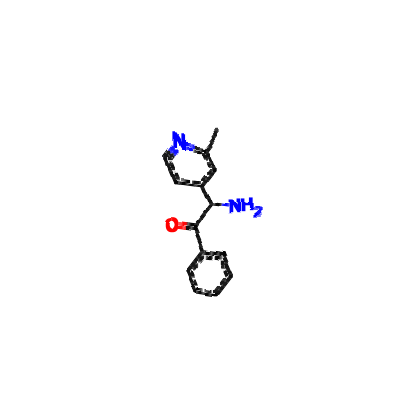 Cc1cc(C(N)C(=O)c2ccccc2)ccn1